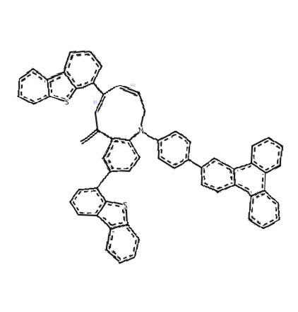 C=C1/C=C(c2cccc3c2sc2ccccc23)\C=C/CN(c2ccc(-c3ccc4c5ccccc5c5ccccc5c4c3)cc2)c2ccc(-c3cccc4c3sc3ccccc34)cc21